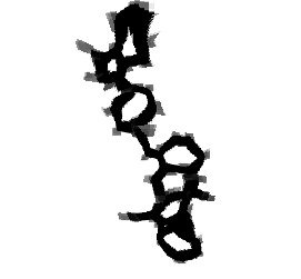 O=C1C2C3CCC(C3)C2S(=O)(=O)N1CC1CCCCC1CN1CCN(c2nsc3ccccc23)CC1